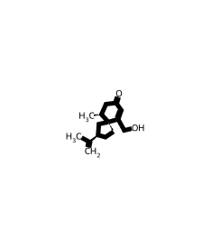 C=C(C)[C@@H]1CC[C@@]2(C1)C(CO)=CC(=O)C[C@H]2C